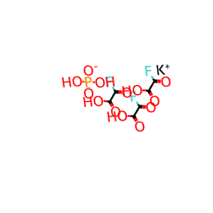 O=C(O)C(=O)F.O=C(O)C(=O)F.O=C(O)C(=O)F.O=P([O-])(O)O.[K+]